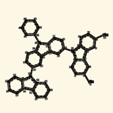 CC(C)(C)c1ccc2c(c1)c1cc(C(C)(C)C)ccc1n2-c1ccc2c(c1)c1cc(-n3c4ccccc4c4ccccc43)ccc1n2-c1ccccc1